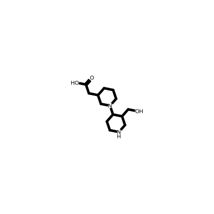 O=C(O)CC1CCCN(C2CCNCC2CO)C1